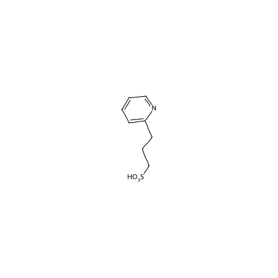 O=S(=O)(O)CCCc1ccccn1